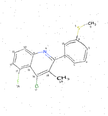 CSc1cccc(-c2nc3cccc(F)c3c(Cl)c2C)c1